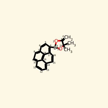 C=C1OB(c2ccc3ccc4cccc5ccc2c3c45)OC1(C)C